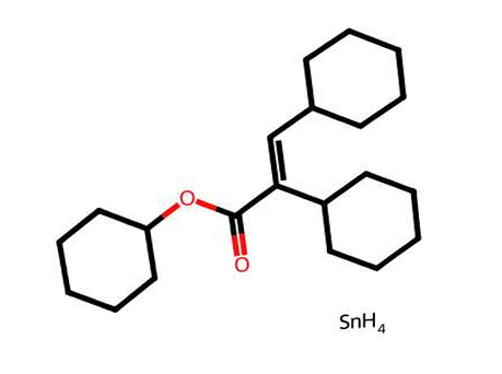 O=C(OC1CCCCC1)C(=CC1CCCCC1)C1CCCCC1.[SnH4]